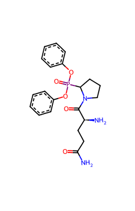 NC(=O)CC[C@H](N)C(=O)N1CCCC1P(=O)(Oc1ccccc1)Oc1ccccc1